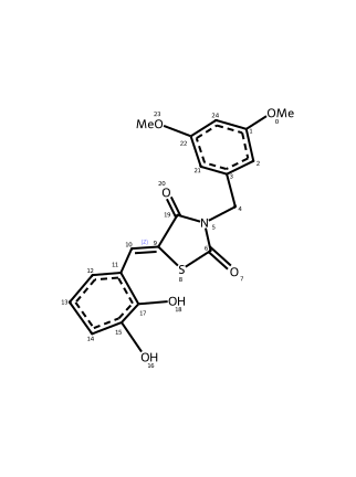 COc1cc(CN2C(=O)S/C(=C\c3cccc(O)c3O)C2=O)cc(OC)c1